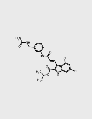 CC(C)OC(=O)c1[nH]c2cc(Cl)cc(Cl)c2c1/C=C/C(=O)Nc1cccc(CNC(N)=O)c1